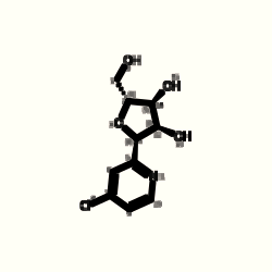 OC[C@H]1O[C@H](c2cc(Cl)ccn2)[C@H](O)[C@@H]1O